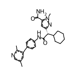 Cc1cnc(C)c(-c2ccc(NC(=O)[C@H](c3cc(C(N)=O)n(C)n3)C3CCCCC3)cc2)c1